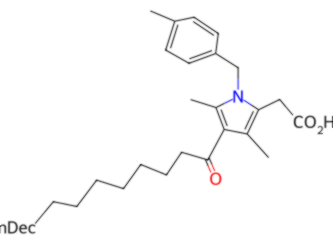 CCCCCCCCCCCCCCCCCC(=O)c1c(C)c(CC(=O)O)n(Cc2ccc(C)cc2)c1C